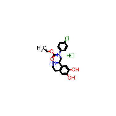 CCOC(=O)N(CC1NCCc2cc(O)c(O)cc21)c1ccc(Cl)cc1.Cl